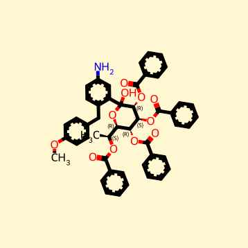 COc1ccc(Cc2ccc(N)cc2C2(O)O[C@H]([C@H](C)OC(=O)c3ccccc3)[C@@H](OC(=O)c3ccccc3)[C@H](OC(=O)c3ccccc3)[C@H]2OC(=O)c2ccccc2)cc1